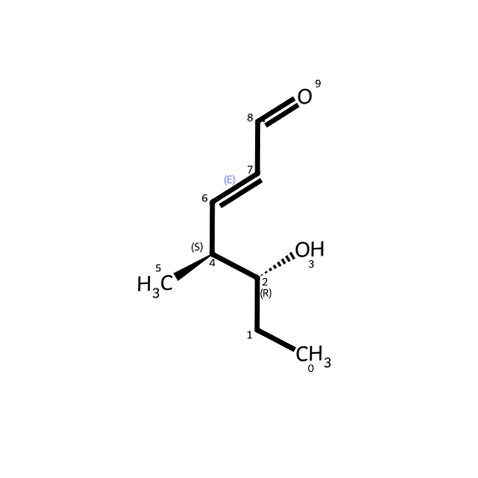 CC[C@@H](O)[C@@H](C)/C=C/[C]=O